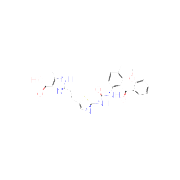 COc1ccccc1C(=O)c1cc(C)ccc1NC(=O)Nc1ncc(CCc2nc(C(=O)O)c(C)[nH]2)s1